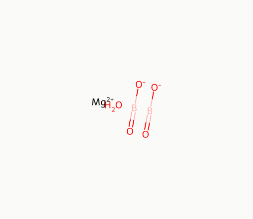 O.O=B[O-].O=B[O-].[Mg+2]